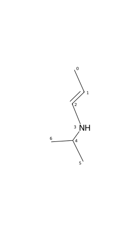 C/C=C/NC(C)C